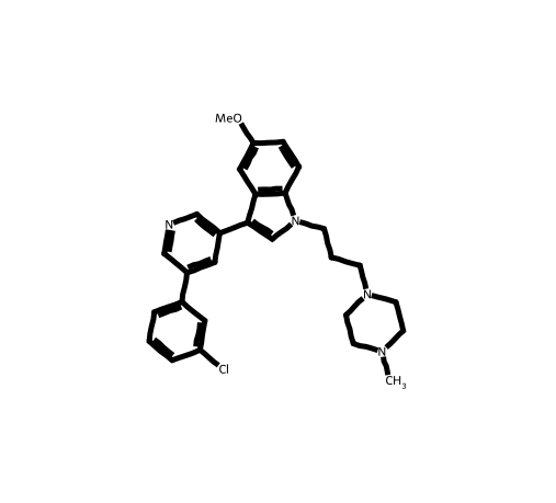 COc1ccc2c(c1)c(-c1cncc(-c3cccc(Cl)c3)c1)cn2CCCN1CCN(C)CC1